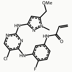 C=CC(=O)Nc1ccc(F)c(Nc2nc(Nc3cc(COC)n(C)n3)ncc2Cl)c1